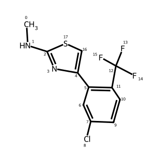 CNc1nc(-c2cc(Cl)ccc2C(F)(F)F)cs1